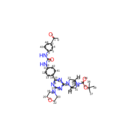 CC(=O)c1ccc(NC(=O)Nc2ccc(-c3nc(N4CCOCC4)nc(N4C[C@H]5C[C@@H]4CN5C(=O)OC(C)(C)C)n3)cc2)cc1